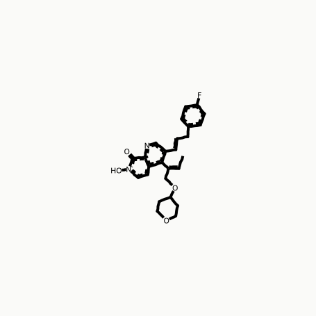 C/C=C(/COC1CCOCC1)c1c(/C=C/Cc2ccc(F)cc2)cnc2c(=O)n(O)ccc12